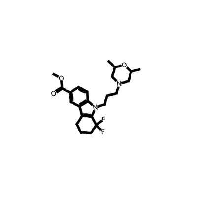 COC(=O)c1ccc2c(c1)c1c(n2CCCN2CC(C)OC(C)C2)C(F)(F)CCC1